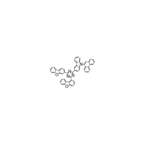 c1ccc2c(c1)cc(-n1c3ccccc3c3cc(-c4nc(-c5ccc6c(c5)oc5ccccc56)nc(-c5cccc6oc7ccccc7c56)n4)ccc31)c1ccccc12